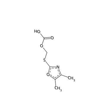 Cc1nc(SCOC(=O)O)oc1C